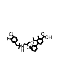 Cc1c(C(=O)O)ccc(-c2ccccc2)c1C(C)OC[C@H](O)CNC(C)(C)Cc1ccc(Cl)c(F)c1